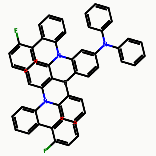 Fc1ccccc1-c1ccccc1N1c2ccccc2B2c3ccc(N(c4ccccc4)c4ccccc4)cc3N(c3ccccc3-c3ccccc3F)c3cccc1c32